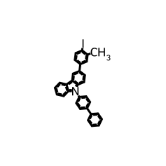 Cc1cc(-c2ccc3c(c2)c2ccccc2n3-c2ccc(-c3ccccc3)cc2)ccc1I